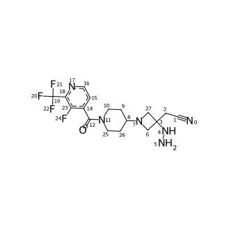 N#CCC1(NN)CN(C2CCN(C(=O)c3ccnc(C(F)(F)F)c3F)CC2)C1